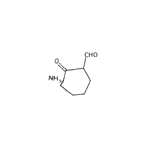 N.O=CC1CCCCC1=O